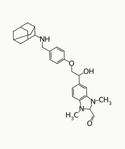 CN1c2ccc(C(O)COc3ccc(CNC4C5CC6CC(C5)CC4C6)cc3)cc2N(C)C1C=O